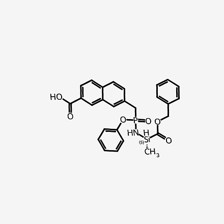 C[Si@H](NP(=O)(Cc1ccc2ccc(C(=O)O)cc2c1)Oc1ccccc1)C(=O)OCc1ccccc1